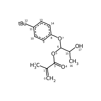 C=C(C)C(=O)OC(Oc1ccc(C(C)(C)C)cc1)C(C)O